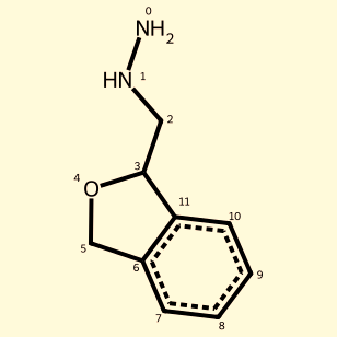 NNCC1OCc2ccccc21